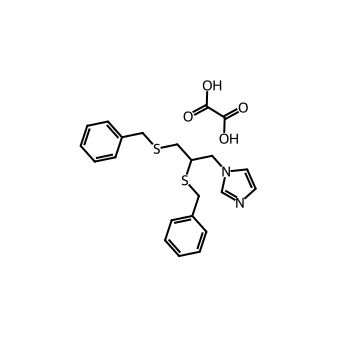 O=C(O)C(=O)O.c1ccc(CSCC(Cn2ccnc2)SCc2ccccc2)cc1